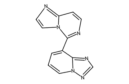 c1cc(-c2nccc3nccn23)c2ncnn2c1